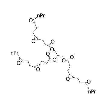 CCCC1OC1CCC1OC1CCC(=O)OCC(COC(=O)CCC1OC1CCC1OC1CCC)OC(=O)CCC1OC1CCC1OC1CCC